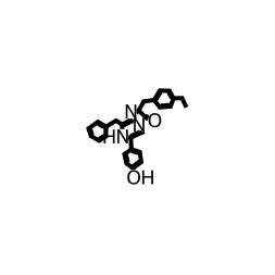 CCc1ccc(Cc2nc3c(Cc4ccccc4)[nH]c(-c4ccc(O)cc4)cn-3c2=O)cc1